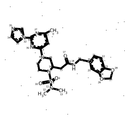 Cc1cc(N2CCN(S(=O)(=O)N(C)C)C(CC(=O)NCc3ccc4c(c3)OCO4)C2)nc(-n2ccnc2)n1